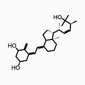 C=C1C(=CC=C2CCC[C@@]3(C)C2CC[C@@H]3[C@H](C)/C=C\[C@H](C)C(C)(C)O)C[C@@H](O)CC1O